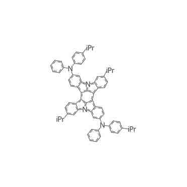 CC(C)c1ccc(N(c2ccccc2)c2ccc3c4c5c6ccc(C(C)C)cc6n6c7cc(N(c8ccccc8)c8ccc(C(C)C)cc8)ccc7c(c7c8ccc(C(C)C)cc8n(c3c2)c74)c56)cc1